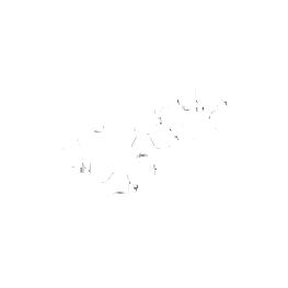 CC1c2c(ccc(-c3cc(CN4CCC(CO)C4)ccn3)c2F)C(=O)N1C1CCC(=O)NC1=O